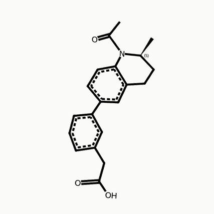 CC(=O)N1c2ccc(-c3cccc(CC(=O)O)c3)cc2CC[C@@H]1C